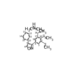 CCc1cc(-c2nocc2-c2ccccc2)cc(CC)c1CC.CNC